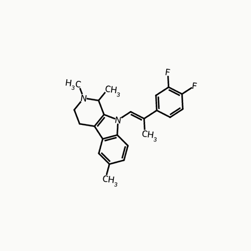 C/C(=C\n1c2c(c3cc(C)ccc31)CCN(C)C2C)c1ccc(F)c(F)c1